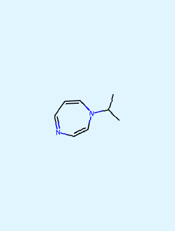 CC(C)N1C=CC=NC=C1